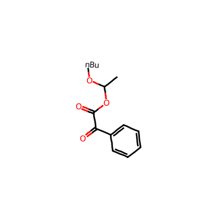 CCCCOC(C)OC(=O)C(=O)c1ccccc1